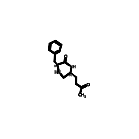 CC(=O)CC[C@H]1CN[C@@H](Cc2ccccc2)C(=O)N1